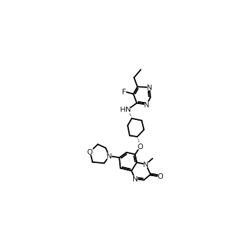 CCc1ncnc(N[C@H]2CC[C@@H](Oc3cc(N4CCOCC4)cc4ncc(=O)n(C)c34)CC2)c1F